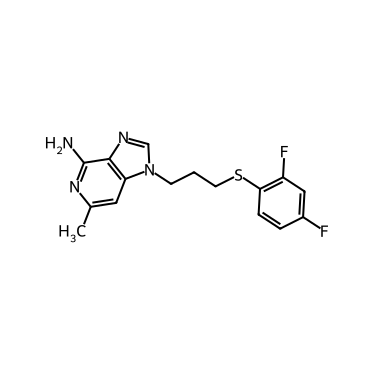 Cc1cc2c(ncn2CCCSc2ccc(F)cc2F)c(N)n1